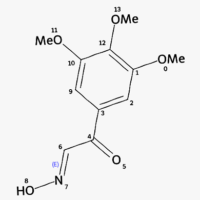 COc1cc(C(=O)/C=N/O)cc(OC)c1OC